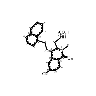 Cn1c(CNC(=O)O)c(OCc2cccc3ccccc23)c2cc(Cl)ccc2c1=O